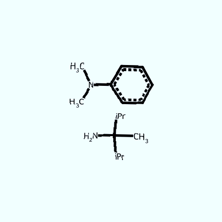 CC(C)C(C)(N)C(C)C.CN(C)c1ccccc1